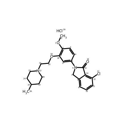 COc1ccc(N2Cc3cccc(Cl)c3C2=O)cc1OCCN1CCC(C)CC1.Cl